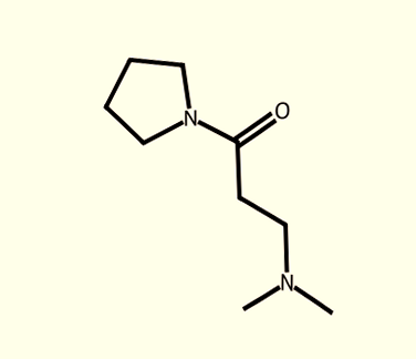 CN(C)CCC(=O)N1CCCC1